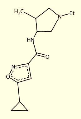 CCN1CC(C)C(NC(=O)c2cc(C3CC3)on2)C1